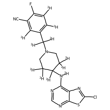 [2H]c1c([2H])c(C([2H])([2H])N2CC([2H])([2H])C([2H])(N([2H])c3ncnc4sc(Cl)nc34)C([2H])([2H])C2)c([2H])c(C#N)c1F